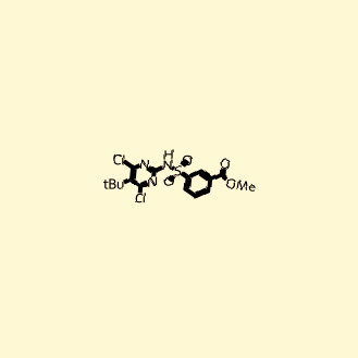 COC(=O)c1cccc(S(=O)(=O)Nc2nc(Cl)c(C(C)(C)C)c(Cl)n2)c1